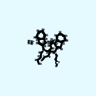 CCCCP(CCCC)C1=Cc2ccccc2[CH]1[Ti+2][CH]1C(P(CCCC)CCCC)=Cc2ccccc21.[F-].[F-]